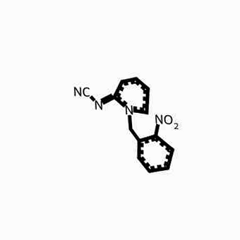 N#CN=c1ccccn1Cc1ccccc1[N+](=O)[O-]